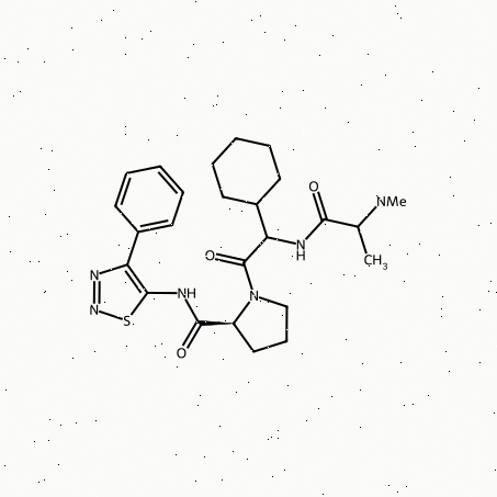 CNC(C)C(=O)NC(C(=O)N1CCC[C@H]1C(=O)Nc1snnc1-c1ccccc1)C1CCCCC1